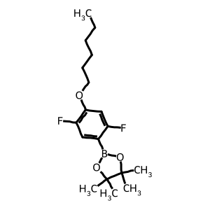 CCCCCCOc1cc(F)c(B2OC(C)(C)C(C)(C)O2)cc1F